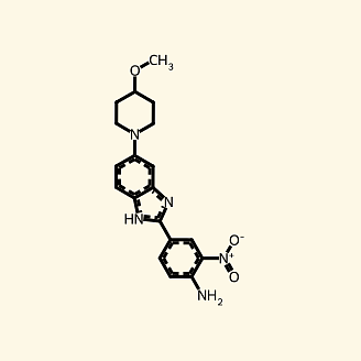 COC1CCN(c2ccc3[nH]c(-c4ccc(N)c([N+](=O)[O-])c4)nc3c2)CC1